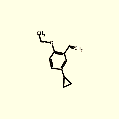 C=[C]c1cc(C2CC2)ccc1OCC